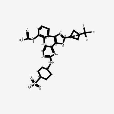 CC(=O)Nc1cccc(-c2nc(C34CC(C(F)(F)F)(C3)C4)sc2-c2ccnc(NC3CCC(S(C)(=O)=O)CC3)n2)c1F